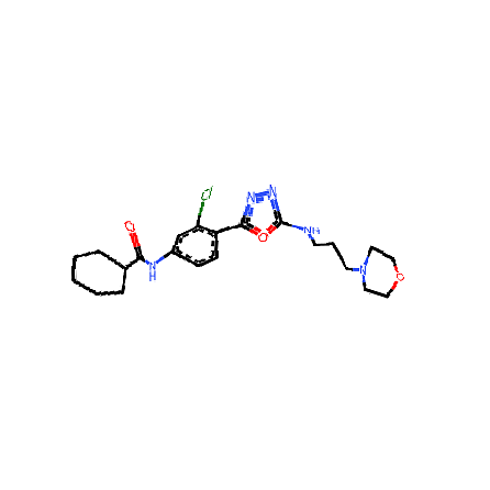 O=C(Nc1ccc(-c2nnc(NCCCN3CCOCC3)o2)c(Cl)c1)C1CCCCC1